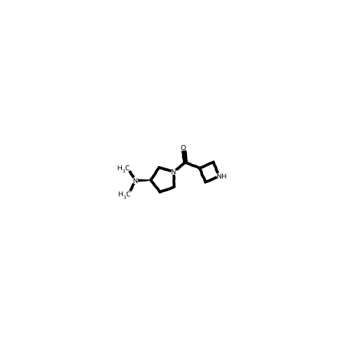 CN(C)[C@@H]1CCN(C(=O)C2CNC2)C1